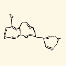 Cn1cc(-c2ccc3c(Br)cccc3c2)cn1